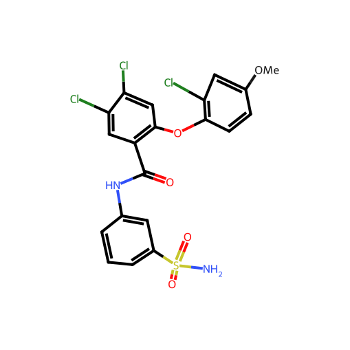 COc1ccc(Oc2cc(Cl)c(Cl)cc2C(=O)Nc2cccc(S(N)(=O)=O)c2)c(Cl)c1